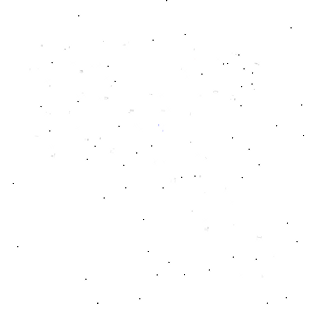 c1ccc(-c2ccc(-c3ccc(N(c4ccc5c(c4)c(-c4ccccc4)c(-c4ccccc4)c4ccccc45)c4ccc5oc6ccccc6c5c4)cc3)cc2)cc1